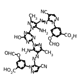 Cc1nn(-c2nc(O)nc(-n3nc(C)c(N=Nc4c(C#N)cnn4-c4cc(OC=O)cc(C(=O)O)c4)c3N)n2)c(N)c1N=Nc1c(C#N)cnn1-c1cc(OC=O)cc(C(=O)O)c1